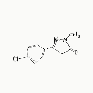 CN1N=C(c2ccc(Cl)cc2)CC1=O